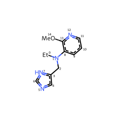 CCN(Cc1cnc[nH]1)c1cccnc1OC